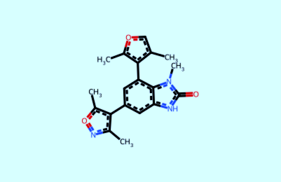 Cc1coc(C)c1-c1cc(-c2c(C)noc2C)cc2[nH]c(=O)n(C)c12